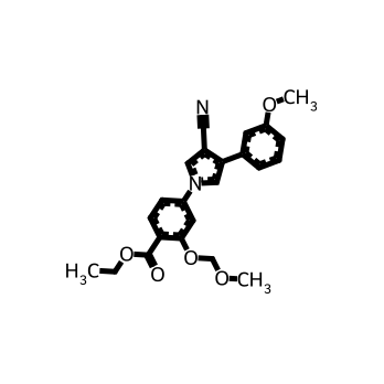 CCOC(=O)c1ccc(-n2cc(C#N)c(-c3cccc(OC)c3)c2)cc1OCOC